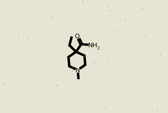 CCC1(C(N)=O)CCN(C)CC1